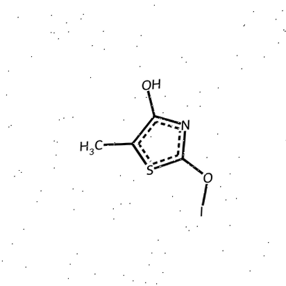 Cc1sc(OI)nc1O